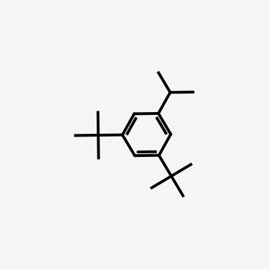 C[C](C)c1cc(C(C)(C)C)cc(C(C)(C)C)c1